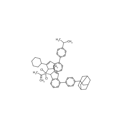 CC1=Cc2c(-c3ccc(C45CC6CC(CC(C6)C4)C5)cc3)cccc2[CH]1[Zr]([Cl])([Cl])([CH]1C(C2CCCCC2)=Cc2c(-c3ccc(C(C)C)cc3)cccc21)[SiH](C)C